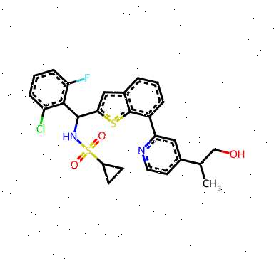 CC(CO)c1ccnc(-c2cccc3cc(C(NS(=O)(=O)C4CC4)c4c(F)cccc4Cl)sc23)c1